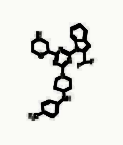 FC(F)c1cc2ccccc2n1-c1nc(C2CNCCO2)nc(N2CCC(Nc3ccc(C(F)(F)F)cc3)CC2)n1